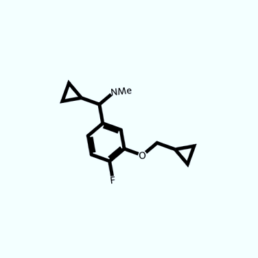 CNC(c1ccc(F)c(OCC2CC2)c1)C1CC1